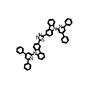 c1ccc(-c2cc(-c3ccccc3)nc(-n3c4ccccc4c4cc(-c5nnc(-c6ccc7c(c6)c6ccccc6n7-c6cc(-c7ccccc7)cc(-c7ccccc7)n6)s5)ccc43)c2)cc1